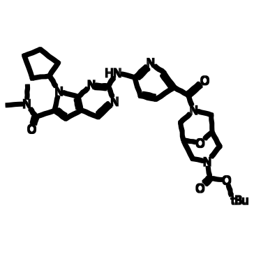 CN(C)C(=O)c1cc2cnc(Nc3ccc(C(=O)N4CC5CN(C(=O)OC(C)(C)C)CC(C4)O5)cn3)nc2n1C1CCCC1